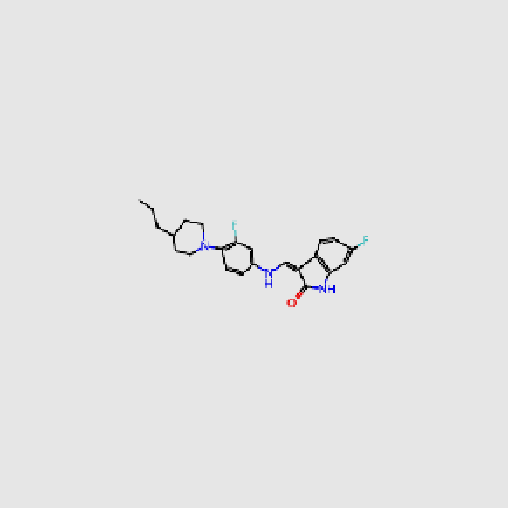 CCCC1CCN(c2ccc(NC=C3C(=O)Nc4cc(F)ccc43)cc2F)CC1